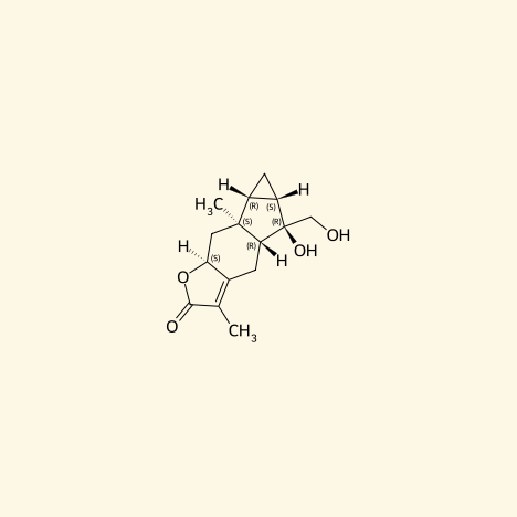 CC1=C2C[C@@H]3[C@@](C)(C[C@@H]2OC1=O)[C@@H]1C[C@@H]1[C@]3(O)CO